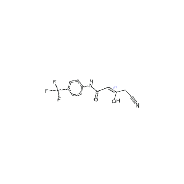 N#CC/C(O)=C/C(=O)Nc1ccc(C(F)(F)F)cc1